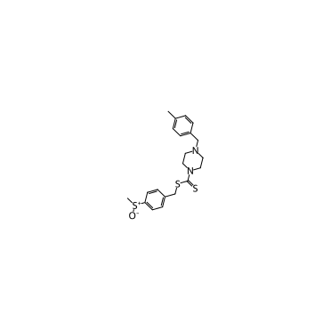 Cc1ccc(CN2CCN(C(=S)SCc3ccc([S+](C)[O-])cc3)CC2)cc1